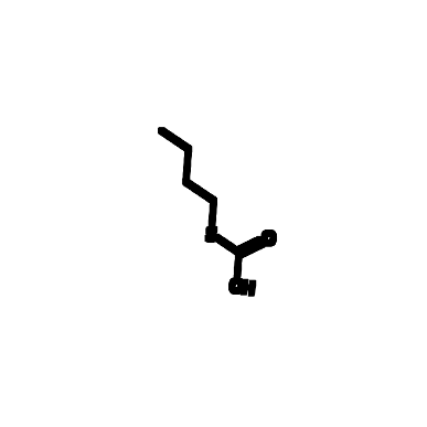 CCCCSC(=O)O